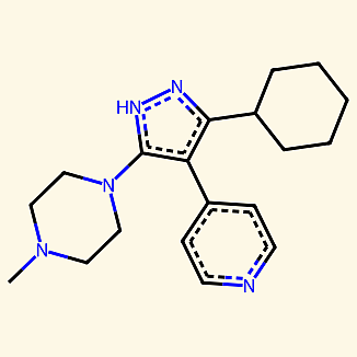 CN1CCN(c2[nH]nc(C3CCCCC3)c2-c2ccncc2)CC1